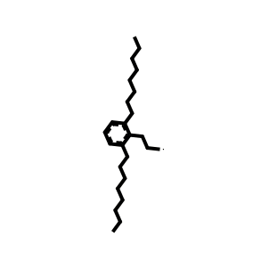 [CH2]CCc1c(CCCCCCCC)cccc1CCCCCCCC